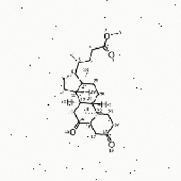 COC(=O)CC[C@@H](C)[C@H]1CC[C@H]2[C@@H]3CC(=O)C4CC(=O)CC[C@]4(C)[C@H]3CC[C@]12C